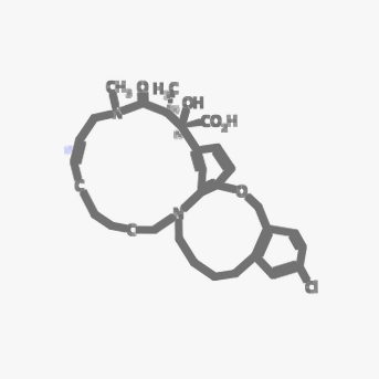 C[C@H]1C(=O)N(C)C/C=C\CCCCCN2CCCCc3cc(Cl)ccc3COc3ccc(cc32)[C@]1(O)C(=O)O